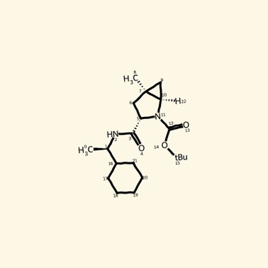 C[C@@H](NC(=O)[C@@H]1C[C@@]2(C)C[C@H]2N1C(=O)OC(C)(C)C)C1CCCCC1